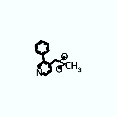 CS(=O)(=O)Cc1ccncc1-c1ccccc1